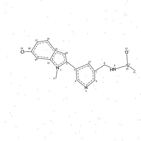 Cn1c(-c2cncc(CN[S+](C)[O-])c2)cc2ccc(Cl)cc21